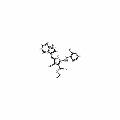 CCOC(=O)C1=C(NCc2ccccc2F)O/C(=C\c2c[nH]c3ncccc23)C1=O